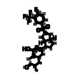 CC(C=O)CC(CN[C@@H]1CC[C@H]2CN(S(=O)(=O)c3ccc(F)c(C(F)(F)F)c3)C[C@H]21)N(C)C(=O)O